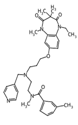 CCN1C(=O)C(C)(C)C(=O)N(C)c2cc(OCCCN(CCN(C)C(=O)c3cccc(C)c3)Cc3ccncc3)ccc21